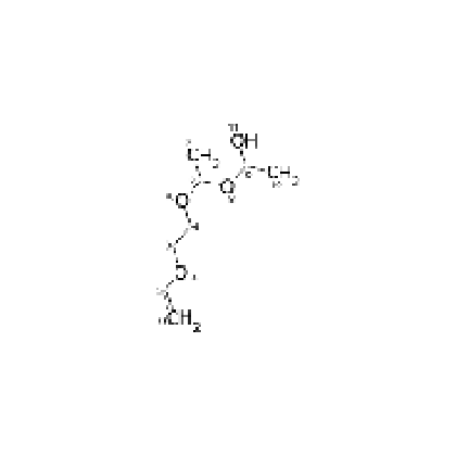 C=COCCOC(C)OC(C)O